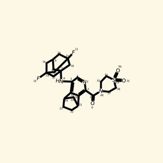 O=C(c1ncc(NC23CC4CC(F)(CC(F)(C4)C2)C3)c2c1C1CCC2C1)N1CCS(=O)(=O)CC1